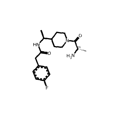 CC(NC(=O)Cc1ccc(F)cc1)C1CCN(C(=O)[C@H](C)N)CC1